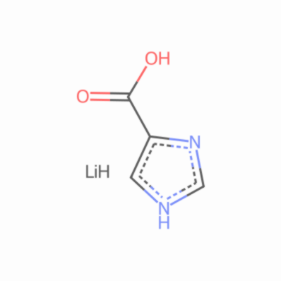 O=C(O)c1c[nH]cn1.[LiH]